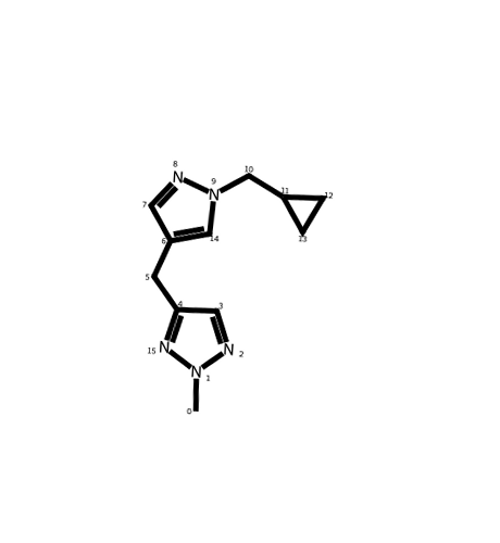 Cn1ncc(Cc2cnn(CC3CC3)c2)n1